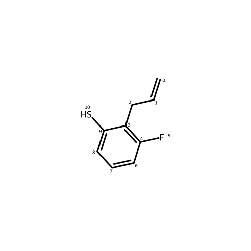 C=CCc1c(F)cccc1S